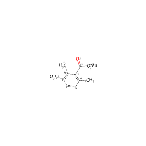 COC(=O)c1c(C)ccc([N+](=O)[O-])c1C